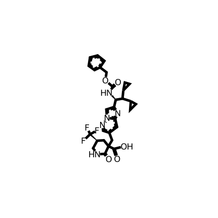 O=C(N[C@H](c1cn2ncc(CC3(C(=O)O)C[C@H](C(F)(F)F)CNC3=O)cc2n1)C(C1CC1)C1CC1)OCc1ccccc1